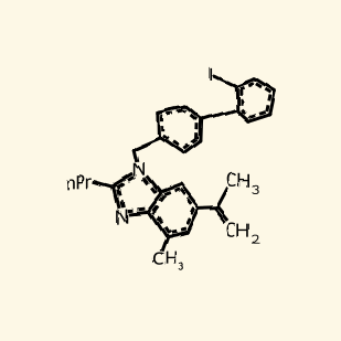 C=C(C)c1cc(C)c2nc(CCC)n(Cc3ccc(-c4ccccc4I)cc3)c2c1